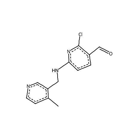 Cc1ccncc1CNc1ccc(C=O)c(Cl)n1